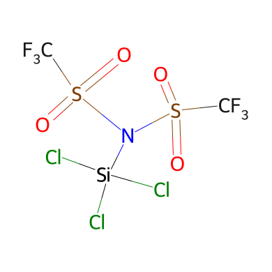 O=S(=O)(N([Si](Cl)(Cl)Cl)S(=O)(=O)C(F)(F)F)C(F)(F)F